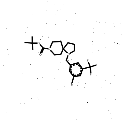 CC(C)(C)OC(=O)N1CCC2(CCCN2Cc2cc(Br)cc(C(F)(F)F)c2)CC1